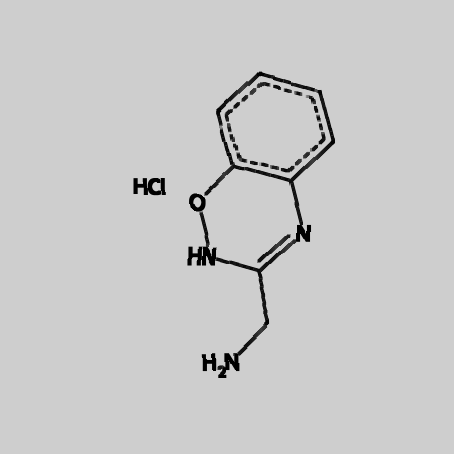 Cl.NCC1=Nc2ccccc2ON1